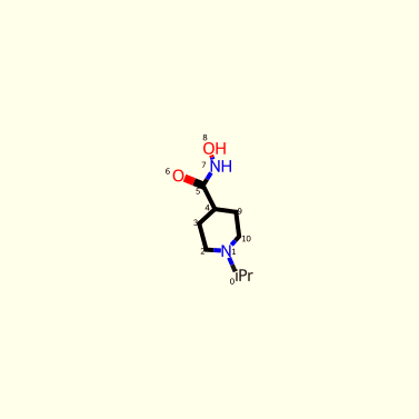 CC(C)N1CCC(C(=O)NO)CC1